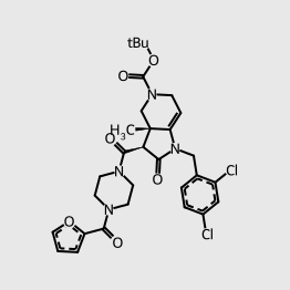 CC(C)(C)OC(=O)N1CC=C2N(Cc3ccc(Cl)cc3Cl)C(=O)[C@@H](C(=O)N3CCN(C(=O)c4ccco4)CC3)[C@]2(C)C1